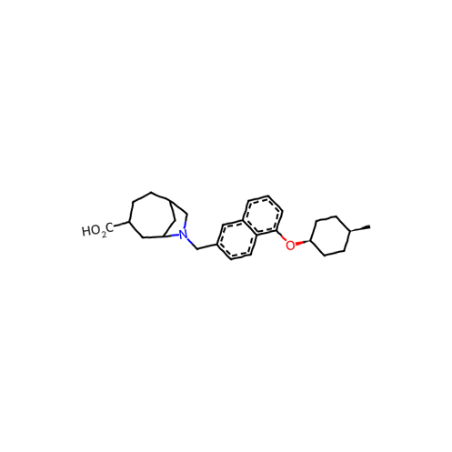 C[C@H]1CC[C@@H](Oc2cccc3cc(CN4CC5CCC(C(=O)O)CC4C5)ccc23)CC1